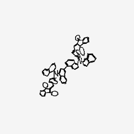 O=C1C(=Cc2ccc(N(c3cccc4ccccc34)c3cc(-c4cccc5c(N(c6ccc7ccccc7c6)c6ccc(C=C7C(=O)c8ccccc8C7=O)s6)cccc45)cc4ccccc34)s2)C(=O)c2ccccc21